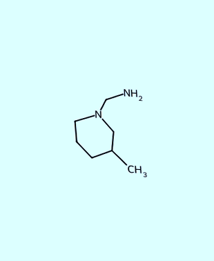 CC1CCCN(CN)C1